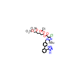 CCCCc1nc(Cl)c(C(=O)OC(CCCC(CO[N+](=O)[O-])O[N+](=O)[O-])OC(=O)CC)n1Cc1ccc(-c2ccccc2-c2nnn[nH]2)cc1